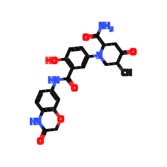 N#CC1CN(c2ccc(O)c(C(=O)Nc3ccc4c(c3)OCC(=O)N4)c2)C(C(N)=O)CC1=O